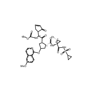 CC[C@@H]1C[C@]1(NC(=O)[C@@H]1CC(Oc2nccc3cc(OC)ccc23)CN1C(=O)[C@@H](NC(=O)OC(C)(C)C)C1CC=CC1=O)C(=O)NS(=O)(=O)C1CC1